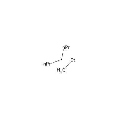 CCC.CCCCCCC